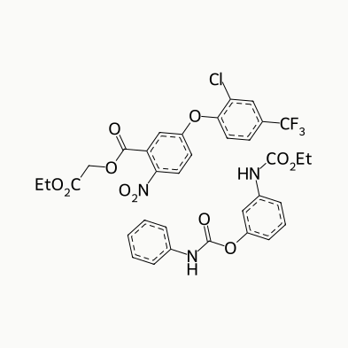 CCOC(=O)COC(=O)c1cc(Oc2ccc(C(F)(F)F)cc2Cl)ccc1[N+](=O)[O-].CCOC(=O)Nc1cccc(OC(=O)Nc2ccccc2)c1